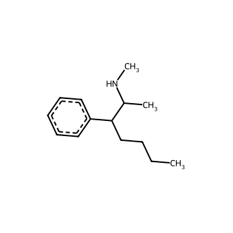 CCCCC(c1ccccc1)C(C)NC